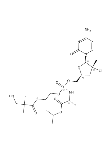 CC(C)OC(=O)[C@@H](C)N[P@@](=O)(OCCSC(=O)C(C)(C)CO)OC[C@@H]1C[C@@](C)(Cl)[C@H](n2ccc(N)nc2=O)O1